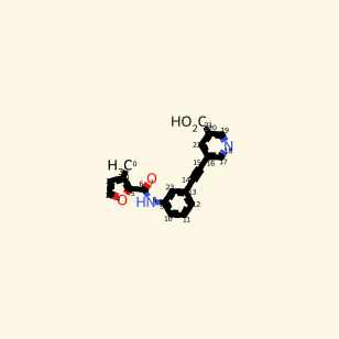 Cc1ccoc1C(=O)Nc1cccc(C#Cc2cncc(C(=O)O)c2)c1